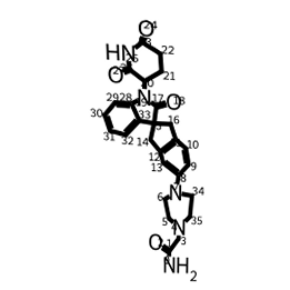 NC(=O)CN1CCN(c2ccc3c(c2)CC2(C3)C(=O)N(C3CCC(=O)NC3=O)c3ccccc32)CC1